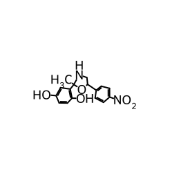 CC1(c2cc(O)ccc2O)NCC(c2ccc([N+](=O)[O-])cc2)O1